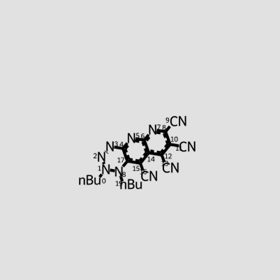 CCCCN1N=Nc2nc3nc(C#N)c(C#N)c(C#N)c3c(C#N)c2N1CCCC